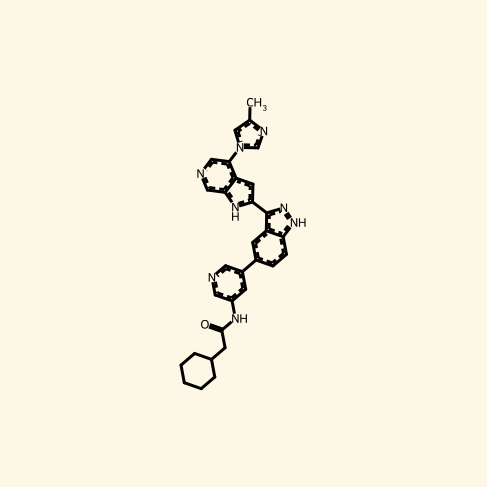 Cc1cn(-c2cncc3[nH]c(-c4n[nH]c5ccc(-c6cncc(NC(=O)CC7CCCCC7)c6)cc45)cc23)cn1